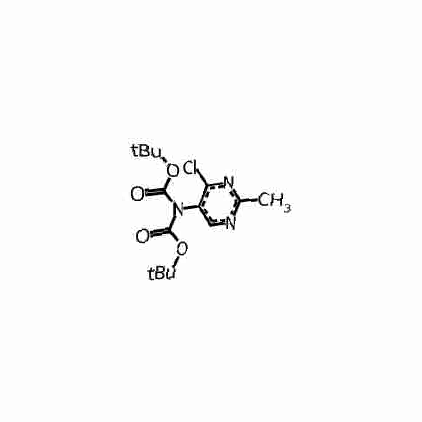 Cc1ncc(N(C(=O)OC(C)(C)C)C(=O)OC(C)(C)C)c(Cl)n1